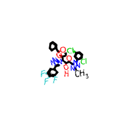 Cc1nc(C2OC3COC(c4ccccc4)OC3C(n3cc(-c4cc(F)c(F)c(F)c4)nn3)C2O)n(-c2cc(Cl)ccc2Cl)n1